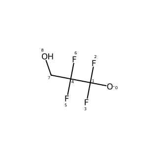 [O]C(F)(F)C(F)(F)CO